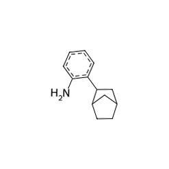 Nc1ccccc1C1CC2CCC1C2